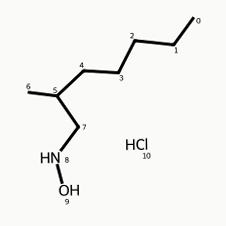 CCCCCC(C)CNO.Cl